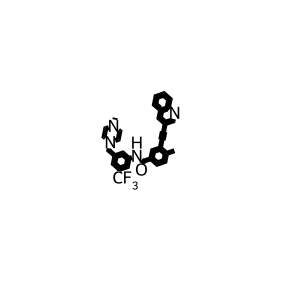 Cc1ccc(C(=O)Nc2cc(CN3CCN(C)CC3)cc(C(F)(F)F)c2)cc1C#Cc1cnc2ccccc2c1